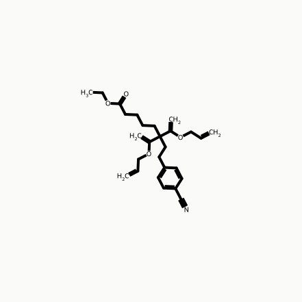 C=CCOC(=C)C(CCCCC(=O)OCC)(CCc1ccc(C#N)cc1)C(=C)OCC=C